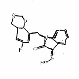 O=C1/C(=N\O)c2ccccc2N1Cc1cc(F)cc2c1OCOC2